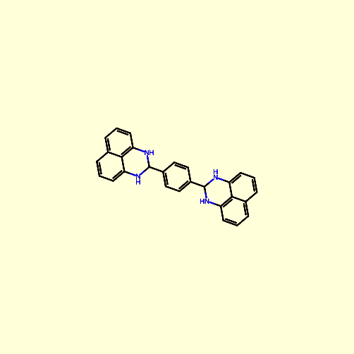 c1cc2c3c(cccc3c1)NC(c1ccc(C3Nc4cccc5cccc(c45)N3)cc1)N2